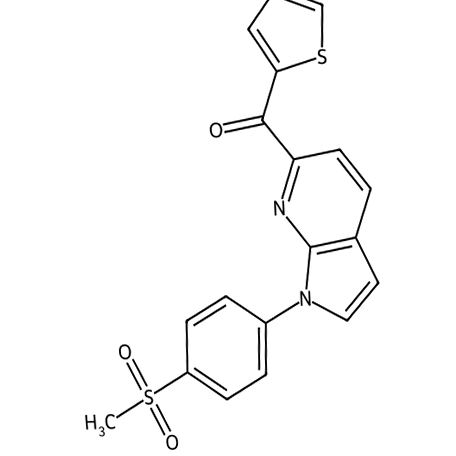 CS(=O)(=O)c1ccc(-n2ccc3ccc(C(=O)c4cccs4)nc32)cc1